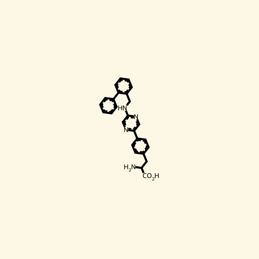 NC(Cc1ccc(-c2cnc(NCc3ccccc3-c3ccccc3)cn2)cc1)C(=O)O